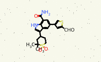 CC1(C)CC(c2c[nH]c3c(C(N)=O)cc(-c4csc(C=O)c4)cc23)CCS1(=O)=O